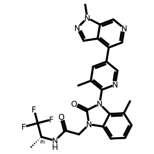 Cc1cc(-c2cncc3c2cnn3C)cnc1-n1c(=O)n(CC(=O)N[C@H](C)C(F)(F)F)c2cccc(C)c21